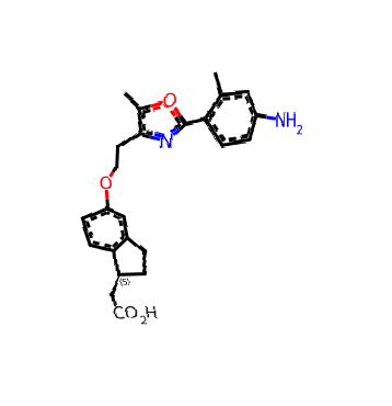 Cc1cc(N)ccc1-c1nc(CCOc2ccc3c(c2)CC[C@H]3CC(=O)O)c(C)o1